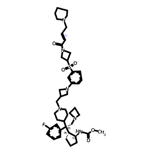 COC(=O)N[C@H]1CCC[C@@H]1[C@@](CN1CCC1)(c1cccc(F)c1)C1CCN(CC2CN(c3cccc(S(=O)(=O)C4CN(C(=O)/C=C/CN5CCCCC5)C4)c3)C2)CC1